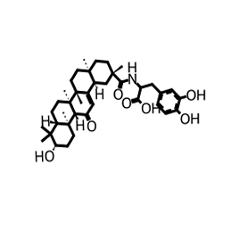 CC1(C)[C@@H](O)CC[C@]2(C)[C@H]3C(=O)C=C4[C@@H]5C[C@@](C)(C(=O)NC(Cc6ccc(O)c(O)c6)C(=O)O)CC[C@]5(C)CC[C@@]4(C)[C@]3(C)CC[C@@H]12